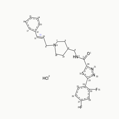 Cl.O=C(NCC1CCN(C/C=C/c2ccccc2)CC1)c1nnc(-c2ccc(F)cc2F)s1